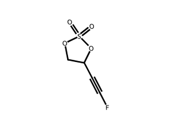 O=S1(=O)OCC(C#CF)O1